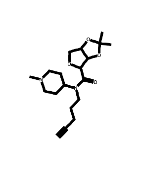 C#CCCCN(C(=O)C1OCC2OC(C)(C)OC21)C1CCN(C)CC1